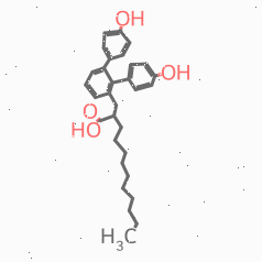 CCCCCCCCCCC(Cc1cccc(-c2ccc(O)cc2)c1-c1ccc(O)cc1)C(=O)O